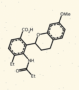 CCC(=O)Nc1c(CC)ccc(C(=O)O)c1C1CCc2ccc(OC)cc2O1